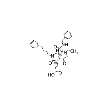 CCN1CC(=O)N2[C@@H](CCC(=O)O)C(=O)N(CCCCc3ccccc3)C[C@@H]2N1C(=O)NCc1ccccc1